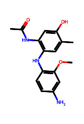 COc1cc(N)ccc1Nc1cc(C)c(O)cc1NC(C)=O